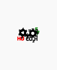 O=C(O)[C@@H](c1ccccc1O)C1CCC(F)(F)CC1